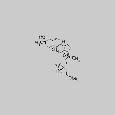 COCCC(C)(O)CC[C@@H](C)[C@H]1CCC2[C@@H]3CC=C4C[C@@](C)(O)CC[C@]4(C)C3CC[C@@]21C